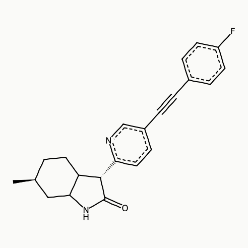 C[C@H]1CCC2C(C1)NC(=O)[C@H]2c1ccc(C#Cc2ccc(F)cc2)cn1